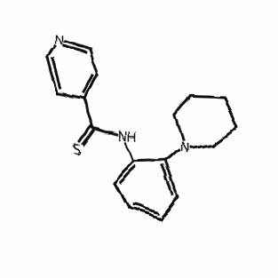 S=C(Nc1ccccc1N1CCCCC1)c1ccncc1